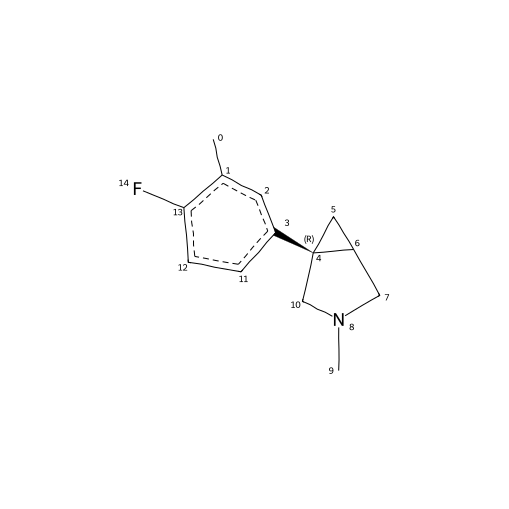 Cc1cc([C@@]23CC2CN(C)C3)ccc1F